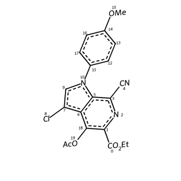 CCOC(=O)c1nc(C#N)c2c(c(Cl)cn2-c2ccc(OC)cc2)c1OC(C)=O